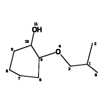 CC(C)COC1CCCCC1O